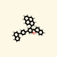 c1ccc2c(-c3ccc(-c4cc(-c5ccc6ccc7cccc8ccc5c6c78)c5c(c4)oc4c6ccccc6ccc45)cc3)cccc2c1